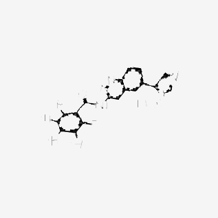 [2H]c1c([2H])c([2H])c(C(=O)Nc2cc3cc(-c4cncn4C)ccc3nn2)c(F)c1[2H]